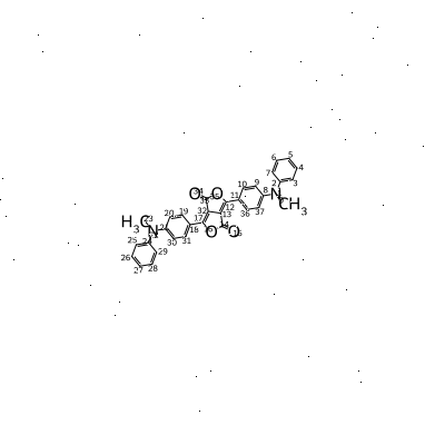 CN(c1ccccc1)c1ccc(C2=C3C(=O)OC(c4ccc(N(C)c5ccccc5)cc4)=C3C(=O)O2)cc1